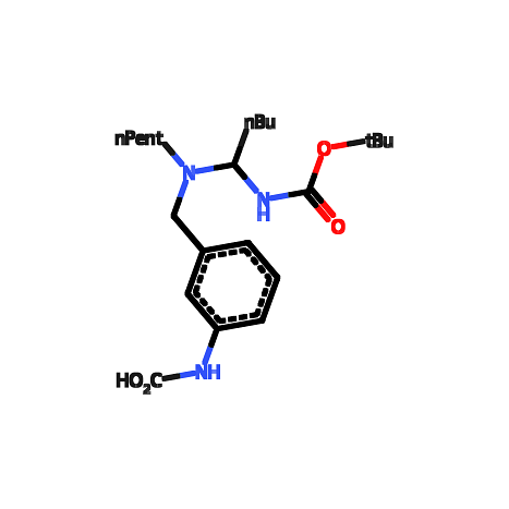 CCCCCN(Cc1cccc(NC(=O)O)c1)C(CCCC)NC(=O)OC(C)(C)C